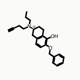 C#CCCN(CCC)[C@H]1CCc2c(ccc(OCc3ccccc3)c2O)C1